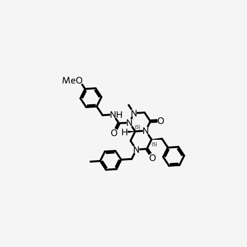 COc1ccc(CNC(=O)N2[C@H]3CN(Cc4ccc(C)cc4)C(=O)[C@H](Cc4ccccc4)N3C(=O)CN2C)cc1